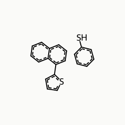 Sc1ccccc1.c1csc(-c2cccc3ccccc23)c1